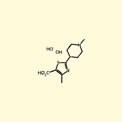 Cc1nc(C2CCN(C)CC2)sc1C(=O)O.Cl.Cl